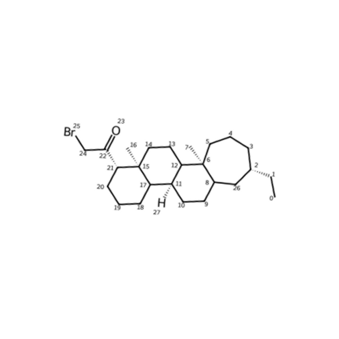 CC[C@H]1CCC[C@@]2(C)C(CC[C@@H]3C2CC[C@@]2(C)C3CCC[C@@H]2C(=O)CBr)C1